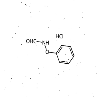 Cl.O=CNOc1ccccc1